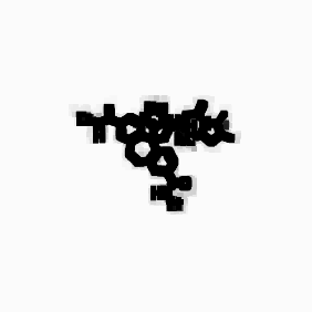 C=C(NCC)c1ccc2c(c1)CCc1cc(C(=O)NCC)ccc1C2(C[C@H](C)NCC(=C)N1C(C#N)CC(C)[C@@H]1C)c1nnn[nH]1